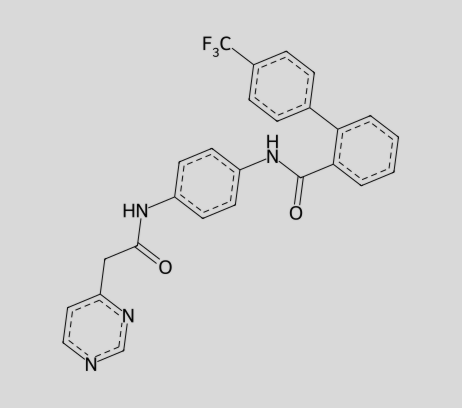 O=C(Cc1ccncn1)Nc1ccc(NC(=O)c2ccccc2-c2ccc(C(F)(F)F)cc2)cc1